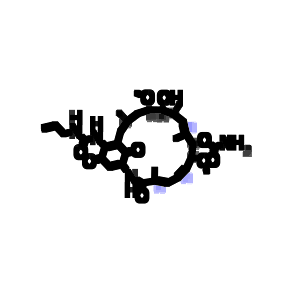 C=CCNC(=O)NC1=C2C[C@@H](C)C[C@H](OC)[C@H](O)[C@@H](C)/C=C(\C)[C@H](OC(N)=O)[C@@H](OC)/C=C\C=C(/C)C(=O)NC(=CC1=O)C2=O